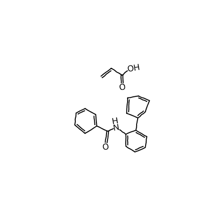 C=CC(=O)O.O=C(Nc1ccccc1-c1ccccc1)c1ccccc1